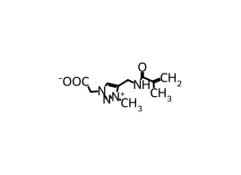 C=C(C)C(=O)NCc1cn(CC(=O)[O-])n[n+]1C